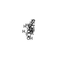 C[C@]12CC[C@H](O)CC1=CC[C@@H]1[C@@H]2CC[C@@]2(C)[C@H]1CC[C@@]2(O)c1ccoc1